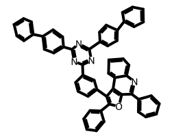 c1ccc(-c2ccc(-c3nc(-c4ccc(-c5ccccc5)cc4)nc(-c4cccc(-c5c(-c6ccccc6)oc6c(-c7ccccc7)nc7ccccc7c56)c4)n3)cc2)cc1